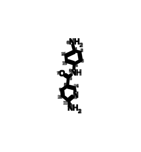 Nc1ccc(NC(=O)c2ccc(N)nc2)cc1